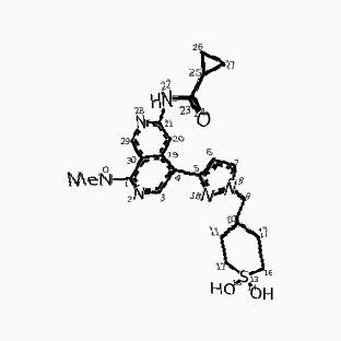 CNc1ncc(-c2ccn(CC3CCS(O)(O)CC3)n2)c2cc(NC(=O)C3CC3)ncc12